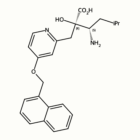 CC(C)C[C@H](N)[C@](O)(Cc1cc(OCc2cccc3ccccc23)ccn1)C(=O)O